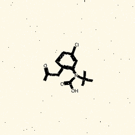 CC(=O)Cc1ccc(Cl)cc1N(C(=O)O)C(C)(C)C